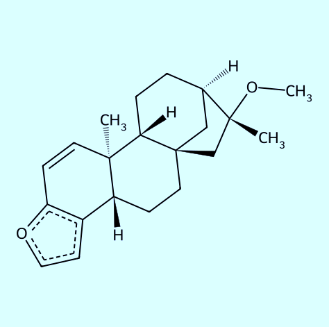 CO[C@]1(C)C[C@@]23CC[C@@H]4c5ccoc5C=C[C@@]4(C)[C@@H]2CC[C@@H]1C3